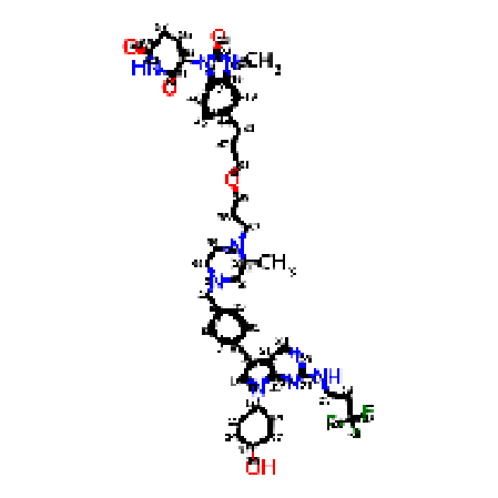 C[C@H]1CN(Cc2ccc(-c3cn([C@H]4CC[C@H](O)CC4)c4nc(NCCC(F)(F)F)ncc34)cc2)CCN1CCCOCCCc1ccc2c(c1)n(C)c(=O)n2C1CCC(=O)NC1=O